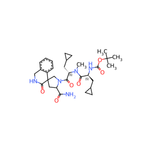 CN(C(=O)[C@H](CC1CC1)NC(=O)OC(C)(C)C)[C@@H](CC1CC1)C(=O)N1CC2(CC1C(N)=O)C(=O)NCc1ccccc12